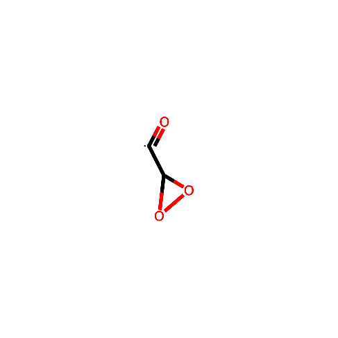 O=[C]C1OO1